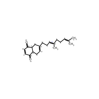 CC(C)=CCC/C(C)=C/CCC1=CCC2C(=O)C=CC(=O)C2C1